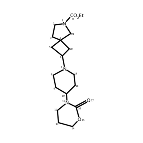 CCOC(=O)N1CCC2(CC(N3CCC(N4CCCOC4=O)CC3)C2)C1